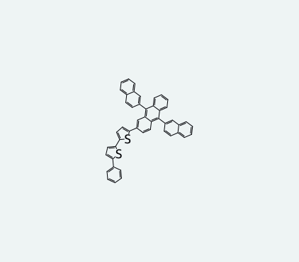 c1ccc(-c2ccc(-c3ccc(-c4ccc5c(-c6ccc7ccccc7c6)c6ccccc6c(-c6ccc7ccccc7c6)c5c4)s3)s2)cc1